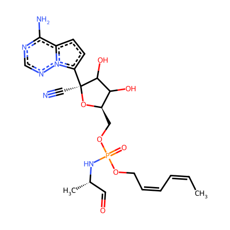 C/C=C\C=C/COP(=O)(N[C@@H](C)C=O)OC[C@H]1O[C@@](C#N)(c2ccc3c(N)ncnn23)C(O)C1O